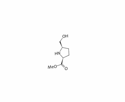 COC(=O)[C@@H]1CC[C@H](CO)N1